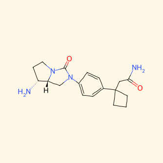 NC(=O)CC1(c2ccc(N3C[C@@H]4[C@H](N)CCN4C3=O)cc2)CCC1